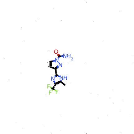 Cc1[nH]c(-c2[c]cn(C(N)=O)n2)nc1C(F)(F)F